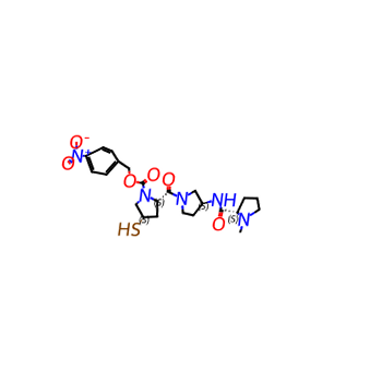 CN1CCC[C@H]1C(=O)N[C@H]1CCN(C(=O)[C@@H]2C[C@H](S)CN2C(=O)OCc2ccc([N+](=O)[O-])cc2)C1